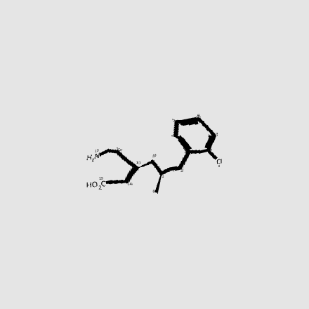 C[C@H](Cc1ccccc1Cl)C[C@H](CN)CC(=O)O